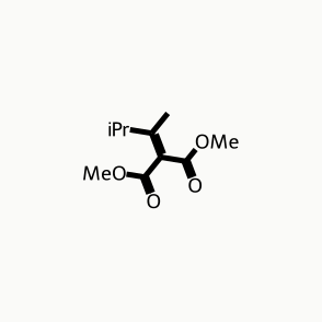 COC(=O)C(C(=O)OC)=C(C)C(C)C